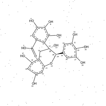 O=C(O)c1cc(O)c(O)c(O)c1[C@]1(O)Cc2c(O)cc(O)cc2O[C@@H]1c1cc(O)c(O)c(O)c1